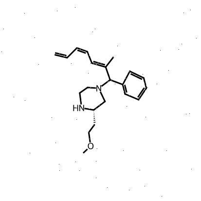 C=C/C=C\C=C(/C)C(c1ccccc1)N1CCN[C@@H](CCOC)C1